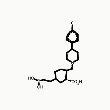 O=C(O)[C@H]1CC(CCB(O)O)CCC1CN1CCC(c2ccc(Cl)cc2)CC1